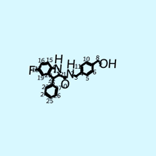 O=C(NCc1ccc(CO)cc1)C1Nc2ccc(F)cc2C1c1ccccc1